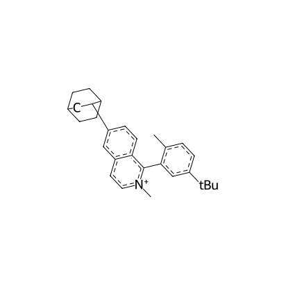 Cc1ccc(C(C)(C)C)cc1-c1c2ccc(C3CC4CCC3CC4)cc2cc[n+]1C